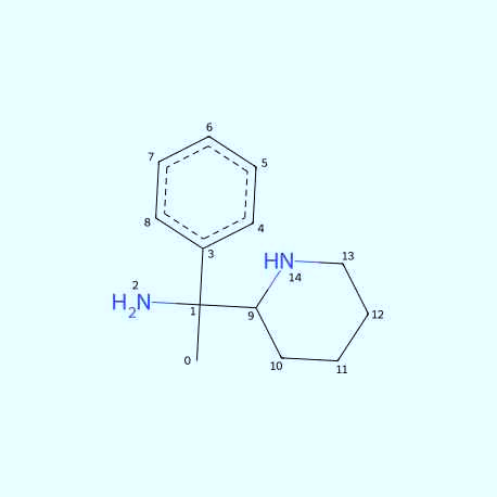 CC(N)(c1ccccc1)C1CCCCN1